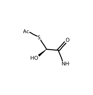 CC(=O)S[C@H](O)C([NH])=O